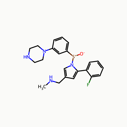 CNCc1cc(-c2ccccc2F)n([S+]([O-])c2cccc(N3CCNCC3)c2)c1